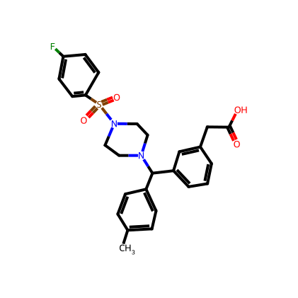 Cc1ccc(C(c2cccc(CC(=O)O)c2)N2CCN(S(=O)(=O)c3ccc(F)cc3)CC2)cc1